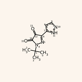 CC(C)(C)N1N=C(c2ccn[nH]2)C(=O)C1=O